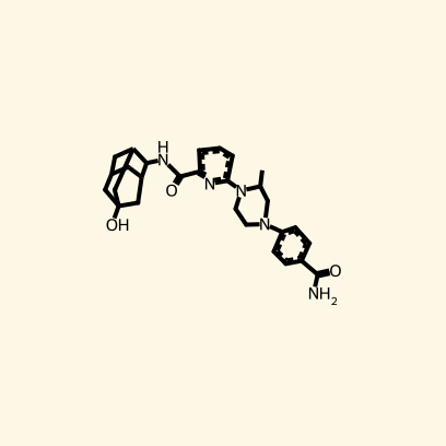 CC1CN(c2ccc(C(N)=O)cc2)CCN1c1cccc(C(=O)NC2C3CC4CC2CC(O)(C4)C3)n1